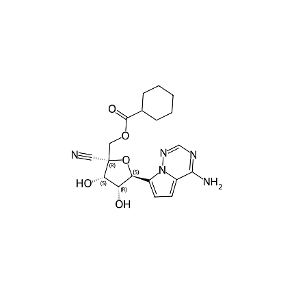 N#C[C@]1(COC(=O)C2CCCCC2)O[C@@H](c2ccc3c(N)ncnn23)[C@H](O)[C@@H]1O